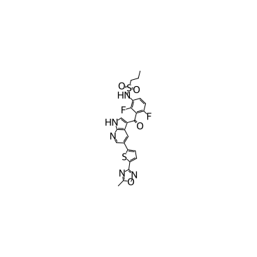 CCCS(=O)(=O)Nc1ccc(F)c(C(=O)c2c[nH]c3ncc(-c4ccc(-c5noc(C)n5)s4)cc23)c1F